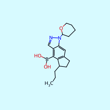 CCCC1CCc2cc3c(cnn3C3CCCCO3)c(B(O)O)c21